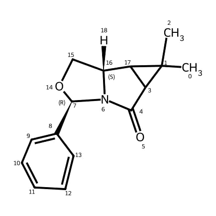 CC1(C)C2C(=O)N3[C@@H](c4ccccc4)OC[C@@H]3C21